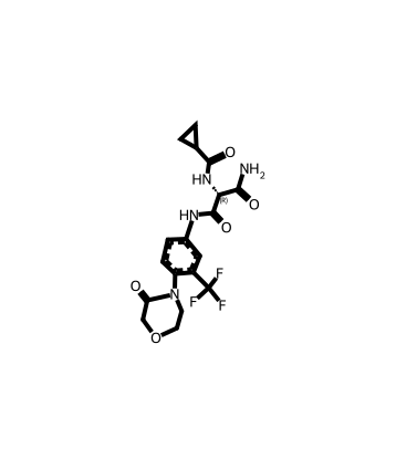 NC(=O)[C@@H](NC(=O)C1CC1)C(=O)Nc1ccc(N2CCOCC2=O)c(C(F)(F)F)c1